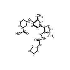 Cc1nc(-c2nnn(C)c2CNC(=O)CC2CCCC2)ccc1O[C@H]1CCC[C@H](C(=O)O)C1